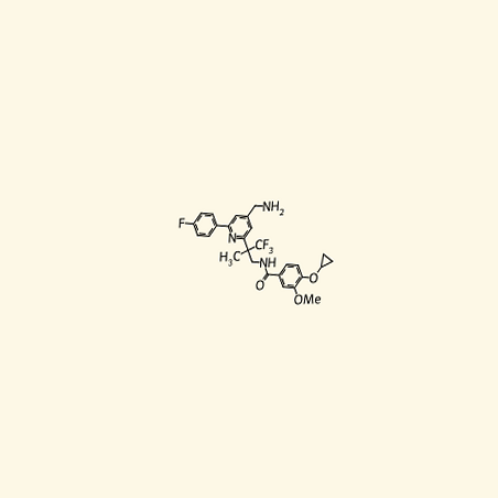 COc1cc(C(=O)NCC(C)(c2cc(CN)cc(-c3ccc(F)cc3)n2)C(F)(F)F)ccc1OC1CC1